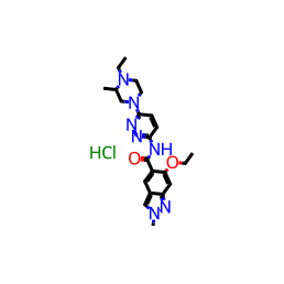 CCOc1cc2nn(C)cc2cc1C(=O)Nc1ccc(N2CCN(CC)C(C)C2)nn1.Cl